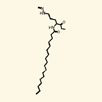 C=NNCCCC(NC(=O)CCCCCCCCCCCCCCCCC)C(=O)CC